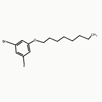 CCCCCCCCOc1cc(F)cc(Br)c1